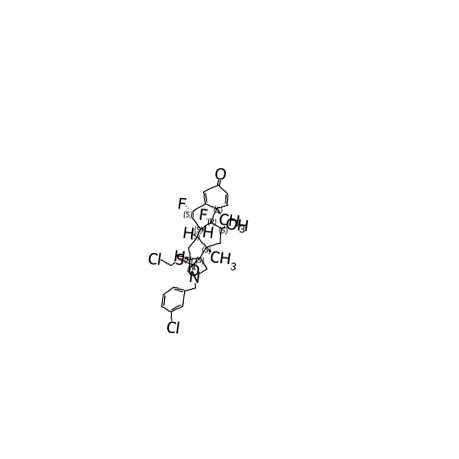 C[C@]12C=CC(=O)C=C1[C@@H](F)C[C@H]1[C@@H]3C[C@H]4CN(Cc5cccc(Cl)c5)C[C@@]4(C(=O)SCCl)[C@@]3(C)C[C@H](O)[C@@]12F